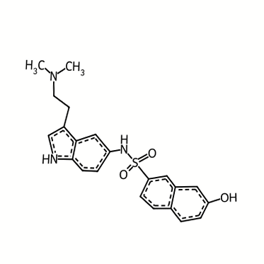 CN(C)CCc1c[nH]c2ccc(NS(=O)(=O)c3ccc4ccc(O)cc4c3)cc12